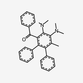 Cc1c(-c2ccccc2)c(-c2ccccc2)c(C(=O)c2ccccc2)c(N(C)C)c1N(C)C